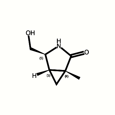 C[C@@]12C[C@@H]1[C@@H](CO)NC2=O